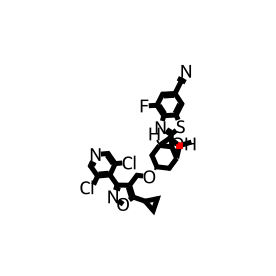 CC1C[C@@H]2C[C@@H](OCc3c(-c4c(Cl)cncc4Cl)noc3C3CC3)CC1[C@]2(O)c1nc2c(F)cc(C#N)cc2s1